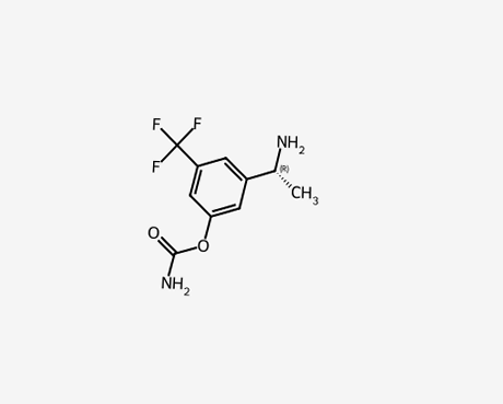 C[C@@H](N)c1cc(OC(N)=O)cc(C(F)(F)F)c1